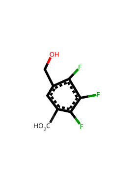 O=C(O)c1cc(CO)c(F)c(F)c1F